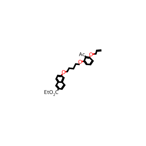 C=CCOc1cccc(OCCCCCOc2ccc3cc(C(=O)OCC)ccc3c2)c1C(C)=O